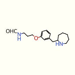 O=CNCCCOc1cccc(CC2CCCCCN2)c1